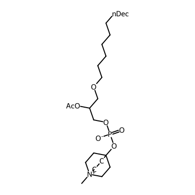 CCCCCCCCCCCCCCCCOCC(COP(=O)([O-])OC12CC[N+](C)(CC1)CC2)OC(C)=O